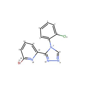 Clc1ccccc1-n1cnnc1-c1cccc(Br)n1